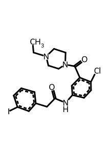 CCN1CCN(C(=O)c2cc(NC(=O)Cc3cccc(I)c3)ccc2Cl)CC1